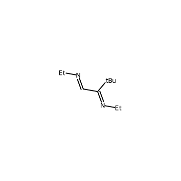 CC/N=C/C(=N/CC)C(C)(C)C